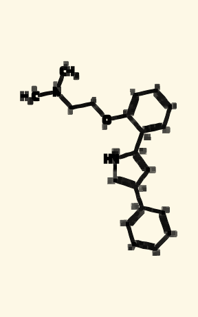 CN(C)CCOc1ccccc1-c1cc(-c2ccccc2)c[nH]1